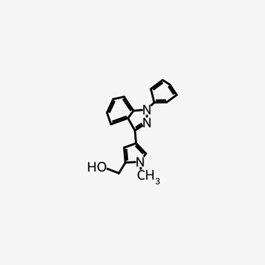 Cn1cc(-c2nn(-c3ccccc3)c3ccccc23)cc1CO